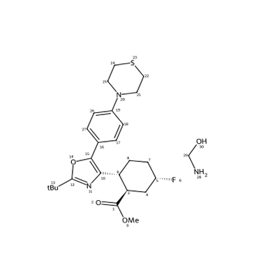 COC(=O)[C@@H]1C[C@@H](F)CC[C@H]1c1nc(C(C)(C)C)oc1-c1ccc(N2CCSCC2)cc1.NCO